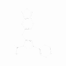 NC(=O)c1oc(C2=CCNCC2)cc1Cc1ccn2ccnc2c1